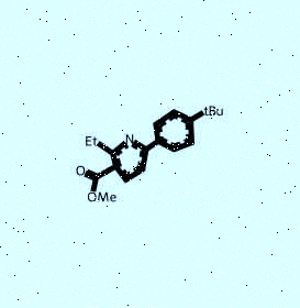 CCc1nc(-c2ccc(C(C)(C)C)cc2)ccc1C(=O)OC